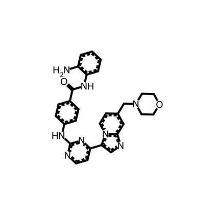 Nc1ccccc1NC(=O)c1ccc(Nc2nccc(-c3cnc4cc(CN5CCOCC5)ccn34)n2)cc1